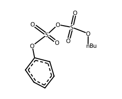 CCCCOS(=O)(=O)OS(=O)(=O)Oc1ccccc1